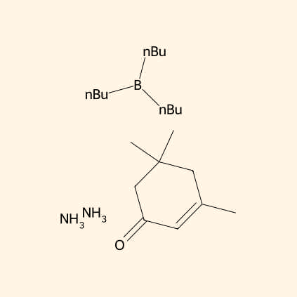 CC1=CC(=O)CC(C)(C)C1.CCCCB(CCCC)CCCC.N.N